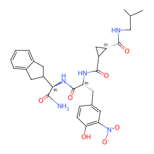 CC(C)CNC(=O)[C@H]1CC1C(=O)N[C@H](Cc1ccc(O)c([N+](=O)[O-])c1)C(=O)N[C@@H](C(N)=O)C1Cc2ccccc2C1